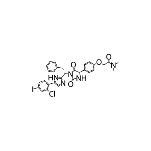 CN(C)C(=O)COc1ccc([C@H]2NC(=O)N([C@@H](Cc3ccccc3)c3ncc(-c4ccc(I)cc4Cl)[nH]3)C2=O)cc1